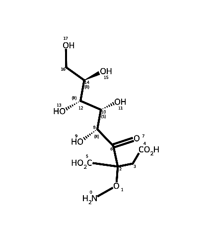 NOC(CC(=O)O)(C(=O)O)C(=O)[C@H](O)[C@@H](O)[C@H](O)[C@H](O)CO